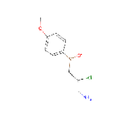 COc1ccc([S+]([O-])CC(Cl)CN)cc1